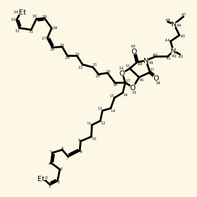 CC/C=C\C/C=C\C/C=C\CCCCCCCCC1(CCCCCCCC/C=C\C/C=C\C/C=C\CC)OC2C(=O)N(CCN(C)CCN(C)C)C(=O)C2O1